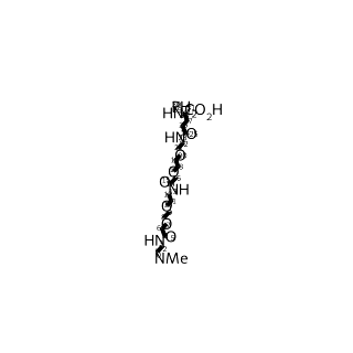 CNCCNC(=O)COCCOCCNC(=O)COCCOCCNC(=O)CC[C@H](NP)C(=O)O